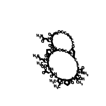 CC[C@H](C)[C@@H]1NC(=O)[C@H](CC(=O)OOC)NC(=O)[C@H](CCSC)NC(=O)[C@@H]2CCCN2C(=O)[C@@H]2CSCc3cc(cc(c3)OCCCCCCO/N=C/C(=O)N[C@@H](CCC(N)=O)C(=O)N2)CSC[C@@H](C(N)=O)NC(=O)[C@H]([C@@H](C)O)NC(=O)[C@@H]2CCCN2C1=O